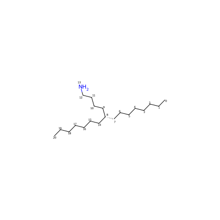 CCCCCCCC[C@@H](CCCCN)CCCCCCC